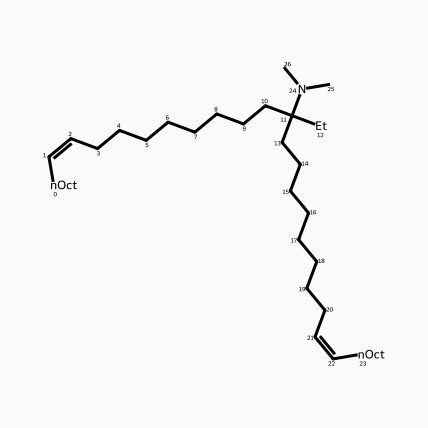 CCCCCCCC/C=C\CCCCCCCCC(CC)(CCCCCCCC/C=C\CCCCCCCC)N(C)C